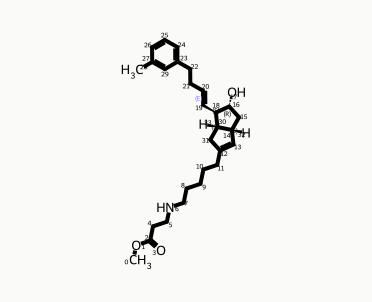 COC(=O)CCNCCCCCC1=C[C@H]2C[C@@H](O)[C@H](/C=C/CCc3cccc(C)c3)[C@H]2C1